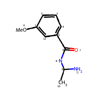 COc1cccc(C(=O)[N]C(C)N)c1